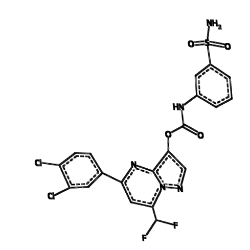 NS(=O)(=O)c1cccc(NC(=O)Oc2cnn3c(C(F)F)cc(-c4ccc(Cl)c(Cl)c4)nc23)c1